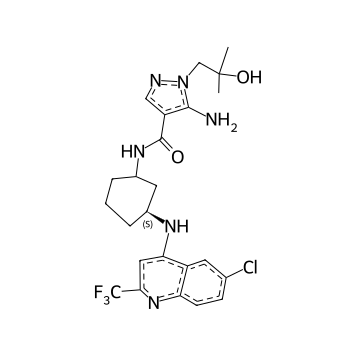 CC(C)(O)Cn1ncc(C(=O)NC2CCC[C@H](Nc3cc(C(F)(F)F)nc4ccc(Cl)cc34)C2)c1N